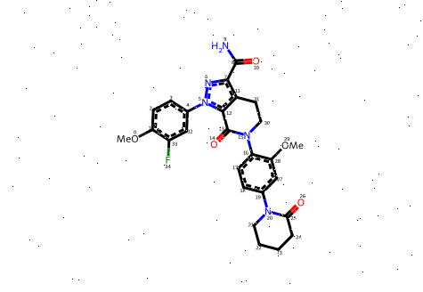 COc1ccc(-n2nc(C(N)=O)c3c2C(=O)N(c2ccc(N4CCCCC4=O)cc2OC)CC3)cc1F